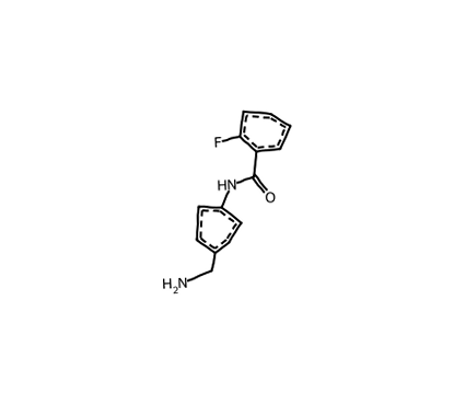 NCc1ccc(NC(=O)c2ccccc2F)cc1